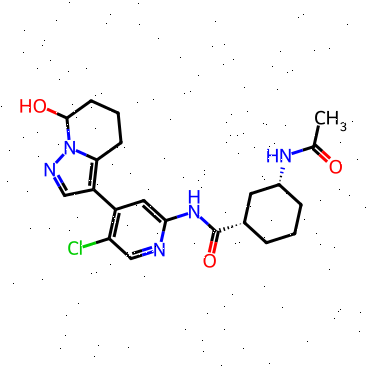 CC(=O)N[C@@H]1CCC[C@H](C(=O)Nc2cc(-c3cnn4c3CCCC4O)c(Cl)cn2)C1